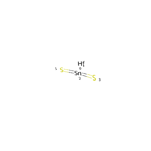 [Hf].[S]=[Sn]=[S]